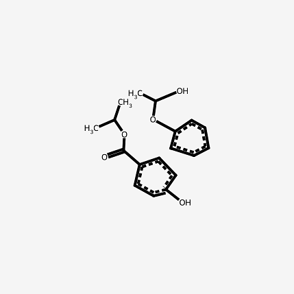 CC(C)OC(=O)c1ccc(O)cc1.CC(O)Oc1ccccc1